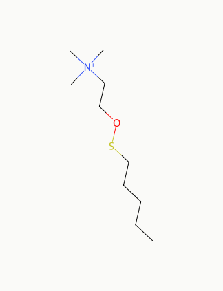 CCCCCSOCC[N+](C)(C)C